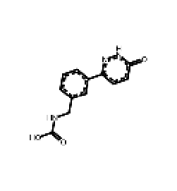 O=C(O)NCc1cccc(-c2ccc(=O)[nH]n2)c1